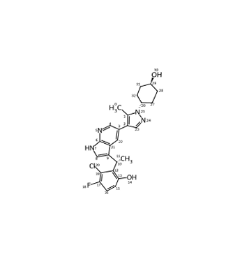 Cc1c(-c2cnc3[nH]cc([C@H](C)c4c(O)ccc(F)c4Cl)c3c2)cnn1[C@H]1CC[C@H](O)CC1